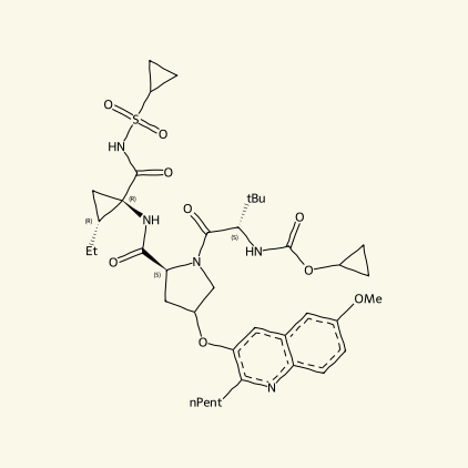 CCCCCc1nc2ccc(OC)cc2cc1OC1C[C@@H](C(=O)N[C@]2(C(=O)NS(=O)(=O)C3CC3)C[C@H]2CC)N(C(=O)[C@@H](NC(=O)OC2CC2)C(C)(C)C)C1